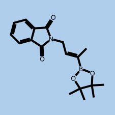 CC(=CCN1C(=O)c2ccccc2C1=O)B1OC(C)(C)C(C)(C)O1